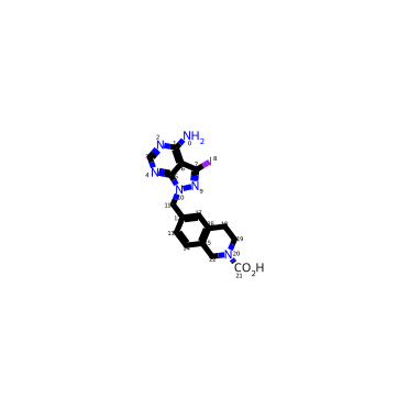 Nc1ncnc2c1c(I)nn2Cc1ccc2c(c1)CCN(C(=O)O)C2